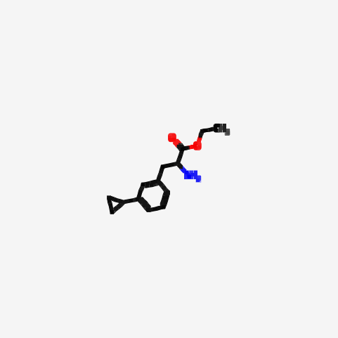 CCOC(=O)C(N)Cc1cccc(C2CC2)c1